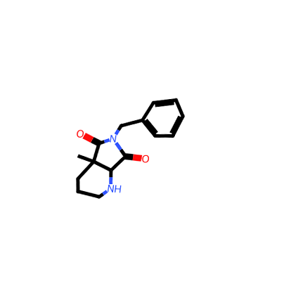 CC12CCCNC1C(=O)N(Cc1ccccc1)C2=O